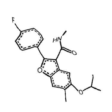 CNC(=O)c1c(-c2ccc(F)cc2)oc2cc(C)c(OC(C)C)cc12